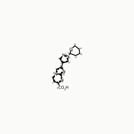 O=C(O)c1ccn2cc(-c3cnn(C4CCCCO4)c3)nc2n1